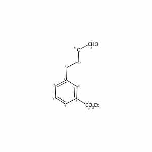 CCOC(=O)c1cccc(CCO[C]=O)c1